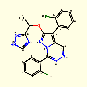 CC(Oc1nn2c(-c3ccccc3F)nncc2c1-c1ccccc1F)c1nc[nH]n1